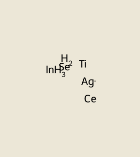 [Ag].[Ce].[InH3].[SeH2].[Ti]